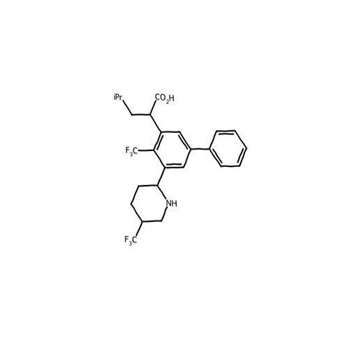 CC(C)CC(C(=O)O)c1cc(-c2ccccc2)cc(C2CCC(C(F)(F)F)CN2)c1C(F)(F)F